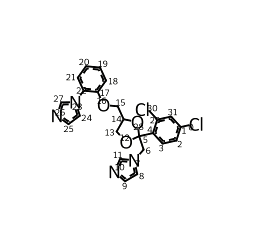 Clc1ccc(C2(Cn3ccnc3)OCC(COc3ccccc3-n3ccnc3)O2)c(Cl)c1